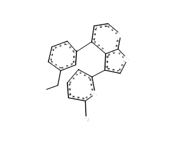 Nc1cccc(-c2c[nH]c3nccc(-c4cccc(CO)c4)c23)n1